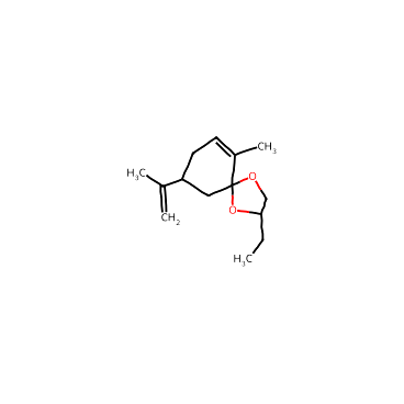 C=C(C)C1CC=C(C)C2(C1)OCC(CC)O2